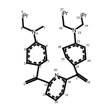 C=C(c1ccc(N(C)CC(C)C)cc1)c1cccc(C(=C)c2ccc(N(CC(C)C)CC(C)C)cc2)n1